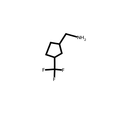 NCC1CCC(C(F)(F)F)C1